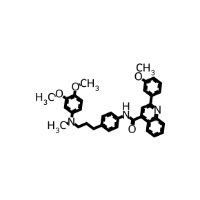 COc1cccc(-c2cc(C(=O)Nc3ccc(CCCN(C)c4ccc(OC)c(OC)c4)cc3)c3ccccc3n2)c1